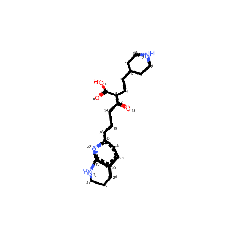 O=C(O)C(CCC1CCNCC1)C(=O)CCCc1ccc2c(n1)NCCC2